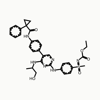 CCOC(=O)N=S(C)(=O)c1ccc(Nc2ncc(-c3ccc(NC(=O)C4(c5ccccc5)CC4)cc3)c(NC(C)CO)n2)cc1